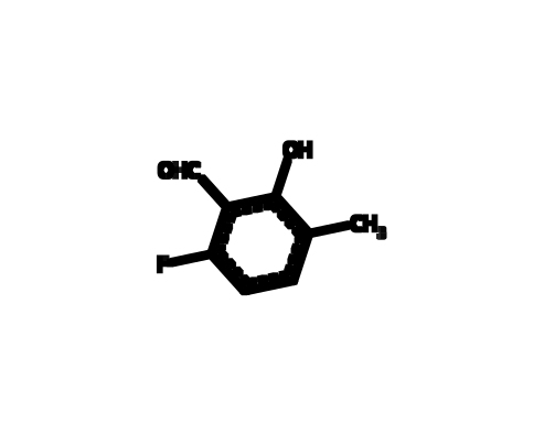 Cc1ccc(F)c(C=O)c1O